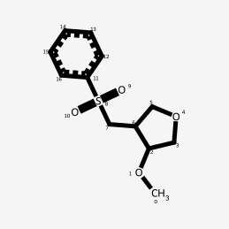 COC1COCC1CS(=O)(=O)c1ccccc1